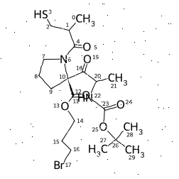 CC(CS)C(=O)N1CCC[C@@]1(C(=O)OCCCBr)C(=O)C(C)NC(=O)OC(C)(C)C